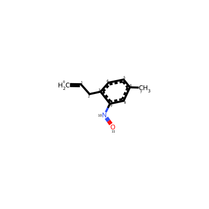 C=CCc1ccc(C)cc1N=O